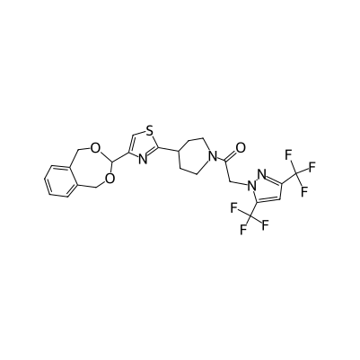 O=C(Cn1nc(C(F)(F)F)cc1C(F)(F)F)N1CCC(c2nc(C3OCc4ccccc4CO3)cs2)CC1